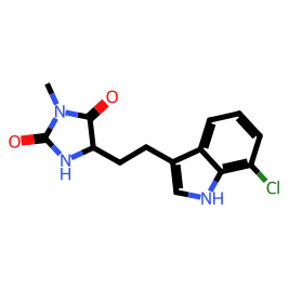 CN1C(=O)NC(CCc2c[nH]c3c(Cl)cccc23)C1=O